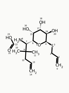 C=CCS[C@H]1O[C@H](C(N)C(C)(C)CC=C)[C@H](O)[C@H](O)[C@H]1O.O=CO